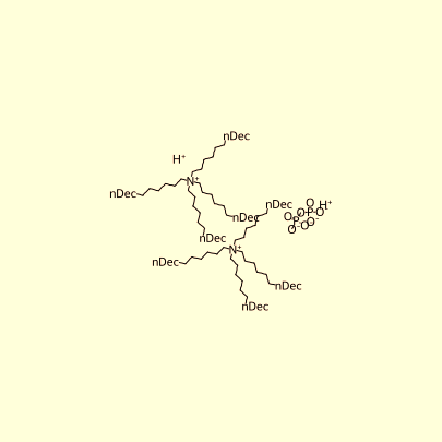 CCCCCCCCCCCCCCCC[N+](CCCCCCCCCCCCCCCC)(CCCCCCCCCCCCCCCC)CCCCCCCCCCCCCCCC.CCCCCCCCCCCCCCCC[N+](CCCCCCCCCCCCCCCC)(CCCCCCCCCCCCCCCC)CCCCCCCCCCCCCCCC.O=P([O-])([O-])OP(=O)([O-])[O-].[H+].[H+]